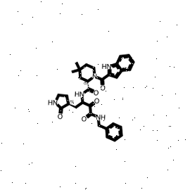 CC1(C)CCN(C(=O)c2cc3ccccc3[nH]2)[C@H](C(=O)NC(C[C@@H]2CCNC2=O)C(=O)C(=O)NCc2ccccc2)C1